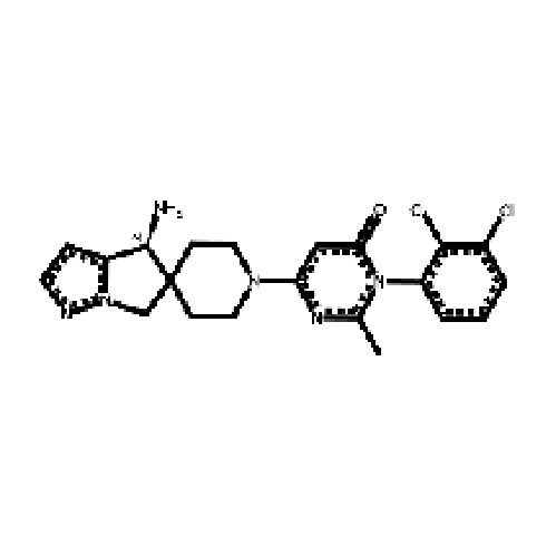 Cc1nc(N2CCC3(CC2)Cn2nccc2[C@H]3N)cc(=O)n1-c1cccc(Cl)c1Cl